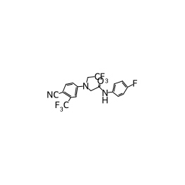 N#Cc1ccc(N(CC(=O)Nc2ccc(F)cc2)CC(F)(F)F)cc1C(F)(F)F